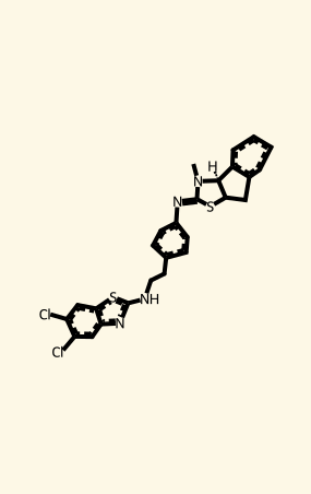 CN1/C(=N/c2ccc(CCNc3nc4cc(Cl)c(Cl)cc4s3)cc2)SC2Cc3ccccc3[C@@H]21